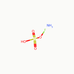 N.O=S(=O)(O)OF